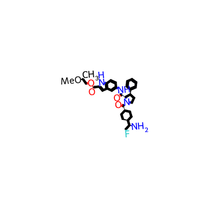 CO[C@@H](C)COC(=O)c1cc2cc(NC(=O)[C@@H]3[C@@H](c4ccccc4)CCN3C(=O)[C@H]3CC[C@H]([C@H](N)CF)CC3)ccc2[nH]1